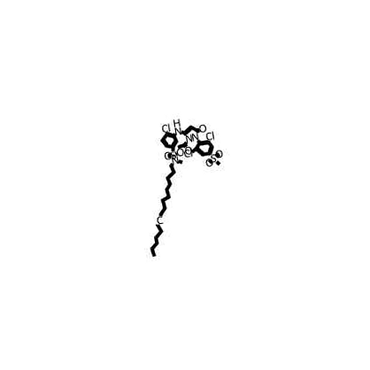 CCCCCCCCCCCCCCCCN(C)S(=O)(=O)c1ccc(Cl)c(Nc2cc(=O)n(-c3c(Cl)cc(S(C)(=O)=O)cc3Cl)n2C(C)=O)c1